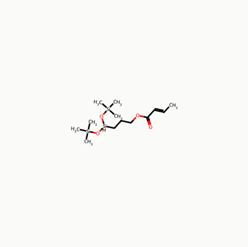 CC=CC(=O)OCCC[SiH](O[Si](C)(C)C)O[Si](C)(C)C